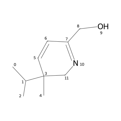 CC(C)C1(C)C=CC(CO)=NC1